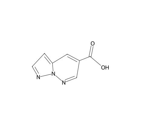 O=C(O)c1cnn2nccc2c1